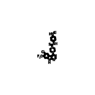 FC(F)(F)c1cc2[nH]c3ncnc(N4CCN(C(=S)Nc5ccc(NCl)cc5)CC4)c3c2cc1Cl